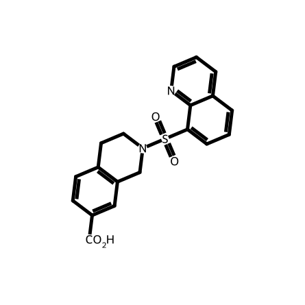 O=C(O)c1ccc2c(c1)CN(S(=O)(=O)c1cccc3cccnc13)CC2